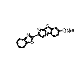 COc1ccc2c(c1)sc1nc(-c3nc4ccccc4s3)cn12